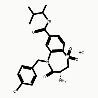 CC(C)C(C)NC(=O)c1ccc2c(c1)N(Cc1ccc(Cl)cc1)C(=O)[C@@H](N)CS2(=O)=O.Cl